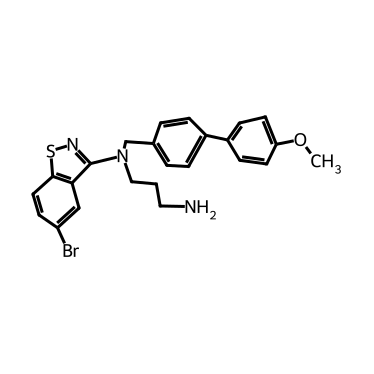 COc1ccc(-c2ccc(CN(CCCN)c3nsc4ccc(Br)cc34)cc2)cc1